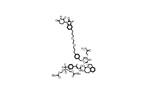 C/C(=C\C(=O)N[C@H]1CCc2cccc3c2N(C1=O)[C@H](C(=O)N[C@@H](CCC(N)=O)[C@@H](C)OCc1ccc(CCCOCCOCCCc2ccc4c(c2)n(C)c(=O)n4C2CCC(=O)NC2=O)cc1)C3)c1ccc(C(F)(F)P(=O)(OCOC(=O)C(C)(C)C)OCOC(=O)C(C)(C)C)cc1